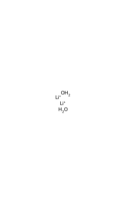 O.O.[Li+].[Li+]